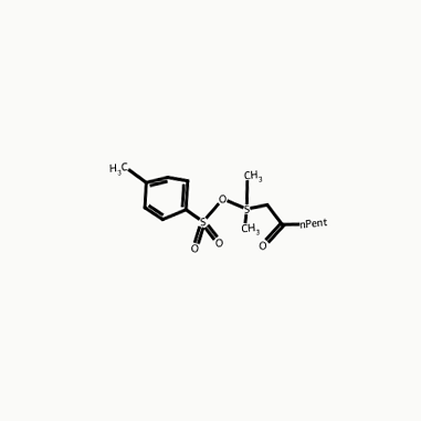 CCCCCC(=O)CS(C)(C)OS(=O)(=O)c1ccc(C)cc1